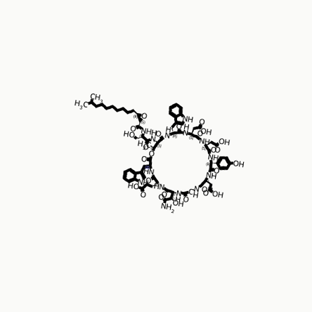 CC(C)CCCCCCCC[C@H]1O[C@@H]1C(=O)N[C@@H](CO)C(=O)N[C@@H]1C(=O)N[C@H](Cc2c[nH]c3ccccc23)C(=O)N[C@@H](CC(=O)O)C(=O)N[C@@H](CC(=O)O)C(=O)N[C@H](c2ccc(O)cc2)C(=O)N[C@@H](CC(=O)O)C(O)NCC(=O)N[C@H]([C@H](O)C(N)=O)C(=O)N[C@H](CCC(=O)O)C(=O)N/C(=C\c2c[nH]c3ccccc23)C(=O)O[C@@H]1C